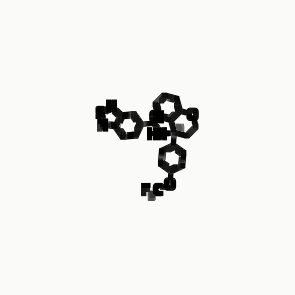 O=C(N[C@]1(c2ccc(OC(F)(F)F)cc2)CCOc2cccnc21)c1ccc2nsnc2c1